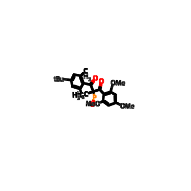 COc1cc(OC)c(C(=O)C(C)(P=O)C(=O)c2c(C)cc(C(C)(C)C)cc2C)c(OC)c1